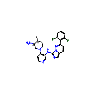 C[C@H]1CCN(c2ccncc2Nc2ncc3ccc(-c4c(F)cccc4F)nn23)C[C@H]1N